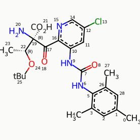 Cc1cc(C)c(NC(=O)Nc2cc(Cl)cnc2C(=O)[C@@](N)(C(=O)O)[C@@H](C)OC(C)(C)C)c(C)c1